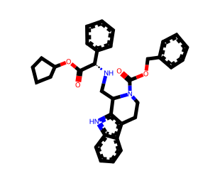 O=C(OC1CCCC1)[C@@H](NCC1c2[nH]c3ccccc3c2CCN1C(=O)OCc1ccccc1)c1ccccc1